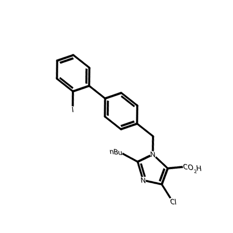 CCCCc1nc(Cl)c(C(=O)O)n1Cc1ccc(-c2ccccc2I)cc1